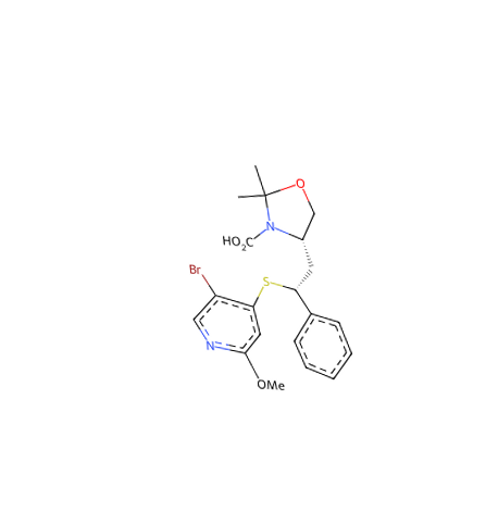 COc1cc(S[C@H](C[C@H]2COC(C)(C)N2C(=O)O)c2ccccc2)c(Br)cn1